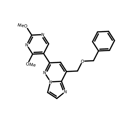 COc1ncc(-c2cc(COCc3ccccc3)c3nccn3n2)c(OC)n1